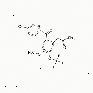 COc1cc(C(=O)c2ccc(Cl)cc2)c(CC(C)=O)cc1OC(F)(F)F